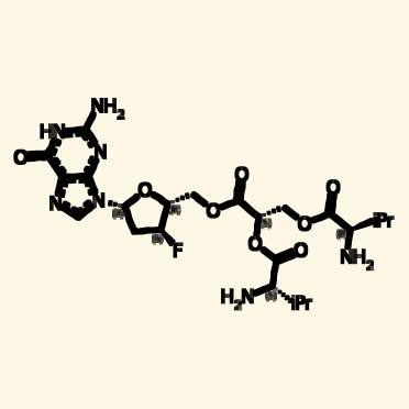 CC(C)[C@H](N)C(=O)O[C@@H](COC(=O)[C@H](N)C(C)C)C(=O)OC[C@H]1O[C@@H](n2cnc3c(=O)[nH]c(N)nc32)C[C@@H]1F